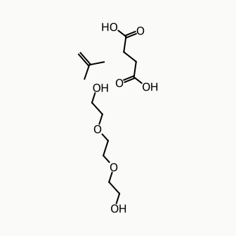 C=C(C)C.O=C(O)CCC(=O)O.OCCOCCOCCO